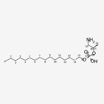 CCCCCCCCCCCCCCCCOP(=O)(O)O[C@H](C)CN